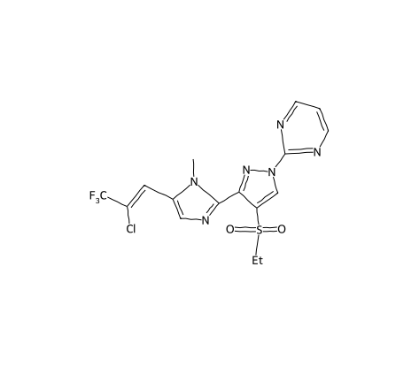 CCS(=O)(=O)c1cn(-c2ncccn2)nc1-c1ncc(/C=C(\Cl)C(F)(F)F)n1C